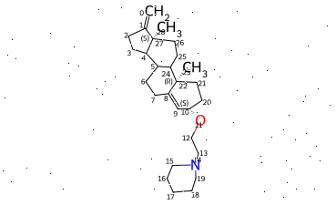 C=C1CCC2C3CCC4=C[C@@H](OCCN5CCCCC5)CC[C@]4(C)C3CC[C@]12C